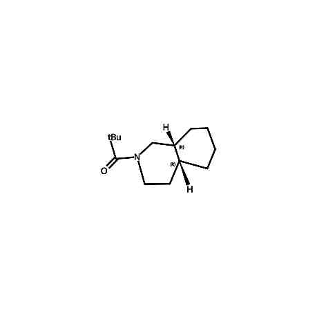 CC(C)(C)C(=O)N1CC[C@H]2CCCC[C@H]2C1